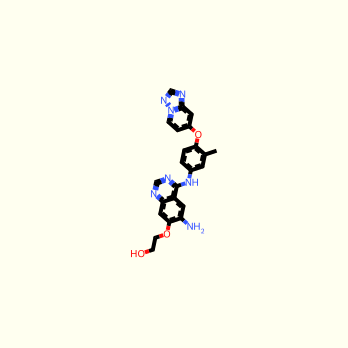 Cc1cc(Nc2ncnc3cc(OCCO)c(N)cc23)ccc1Oc1ccn2ncnc2c1